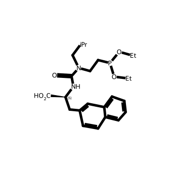 CCOP(CCN(CC(C)C)C(=O)N[C@@H](Cc1ccc2ccccc2c1)C(=O)O)OCC